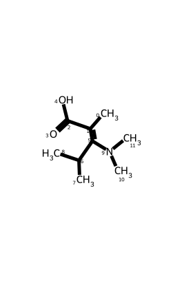 C/C(C(=O)O)=C(/C(C)C)N(C)C